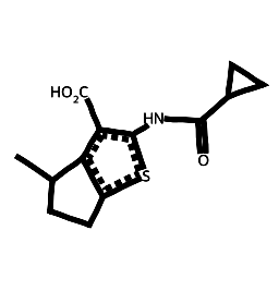 CC1CCc2sc(NC(=O)C3CC3)c(C(=O)O)c21